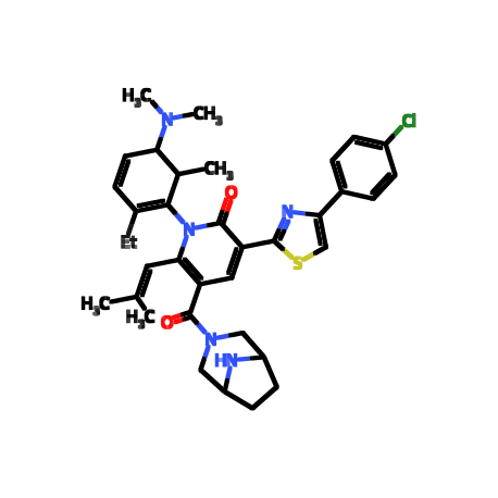 CCC1=C(n2c(C=C(C)C)c(C(=O)N3CC4CCC(C3)N4)cc(-c3nc(-c4ccc(Cl)cc4)cs3)c2=O)C(C)C(N(C)C)C=C1